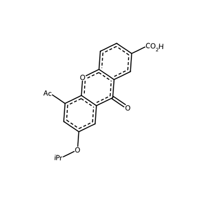 CC(=O)c1cc(OC(C)C)cc2c(=O)c3cc(C(=O)O)ccc3oc12